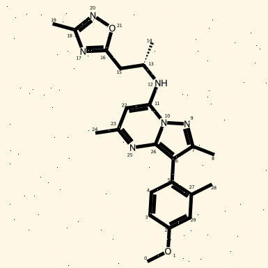 COc1ccc(-c2c(C)nn3c(N[C@@H](C)Cc4nc(C)no4)cc(C)nc23)c(C)c1